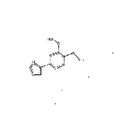 COc1ccc(-c2cscn2)cc1OC